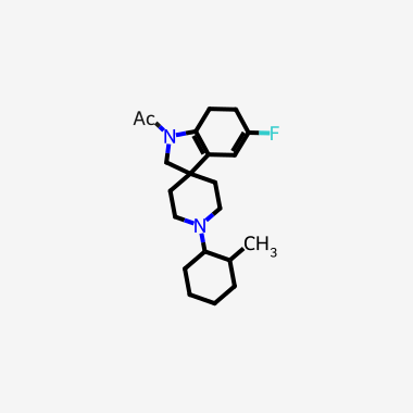 CC(=O)N1CC2(CCN(C3CCCCC3C)CC2)C2=C1CCC(F)=C2